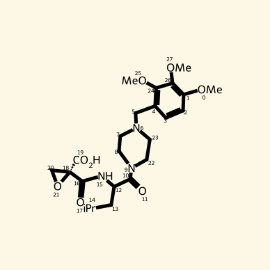 COc1ccc(CN2CCN(C(=O)C(CC(C)C)NC(=O)[C@]3(C(=O)O)CO3)CC2)c(OC)c1OC